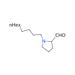 CCCCCCCCCCN1CCCC1C=O